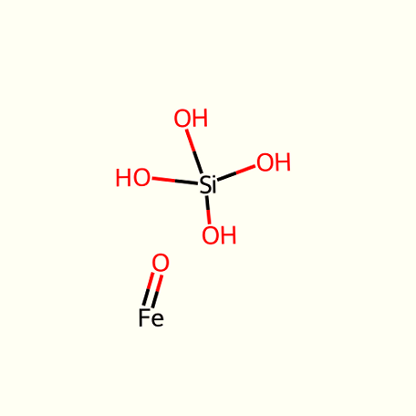 O[Si](O)(O)O.[O]=[Fe]